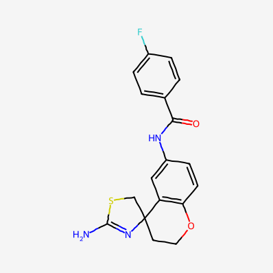 NC1=NC2(CCOc3ccc(NC(=O)c4ccc(F)cc4)cc32)CS1